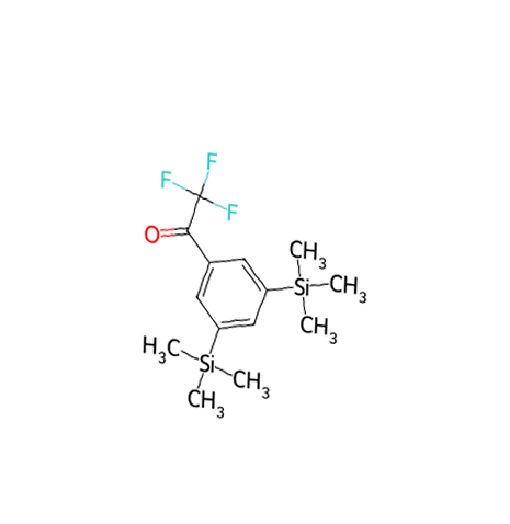 C[Si](C)(C)c1cc(C(=O)C(F)(F)F)cc([Si](C)(C)C)c1